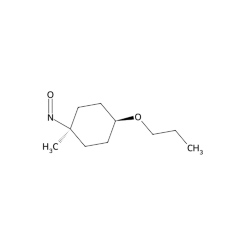 CCCO[C@H]1CC[C@@](C)(N=O)CC1